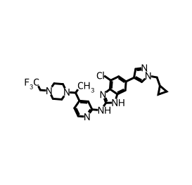 CC(c1ccnc(Nc2nc3c(Cl)cc(-c4cnn(CC5CC5)c4)cc3[nH]2)c1)N1CCN(CC(F)(F)F)CC1